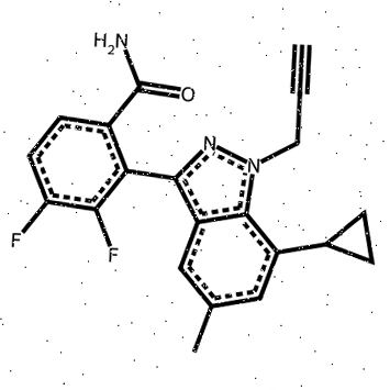 C#CCn1nc(-c2c(C(N)=O)ccc(F)c2F)c2cc(C)cc(C3CC3)c21